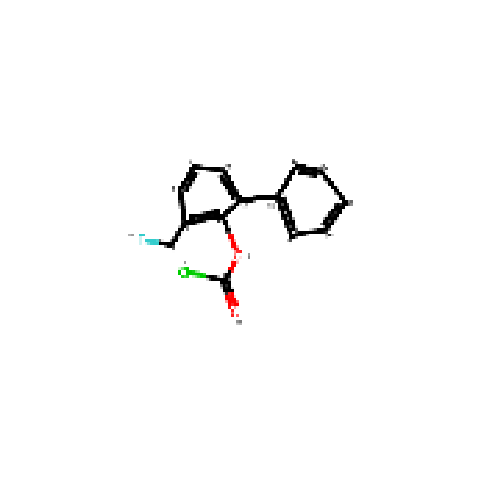 O=C(Cl)Oc1c(CF)cccc1-c1ccccc1